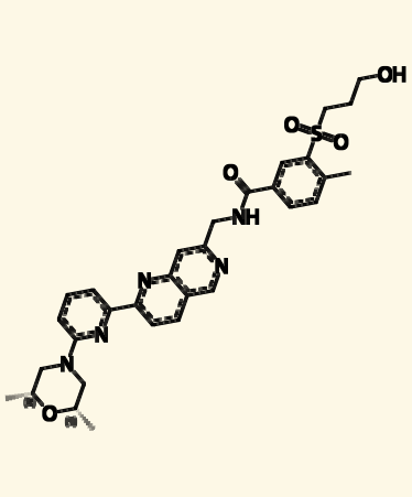 Cc1ccc(C(=O)NCc2cc3nc(-c4cccc(N5C[C@@H](C)O[C@@H](C)C5)n4)ccc3cn2)cc1S(=O)(=O)CCCO